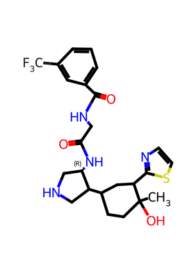 CC1(O)CCC(C2CNC[C@@H]2NC(=O)CNC(=O)c2cccc(C(F)(F)F)c2)CC1c1nccs1